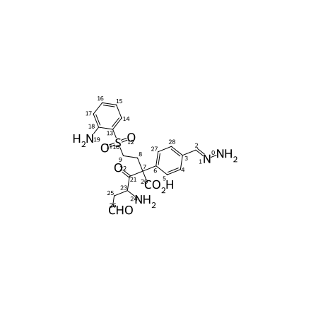 NN=Cc1ccc(C(CCS(=O)(=O)c2ccccc2N)(C(=O)O)C(=O)C(N)CC=O)cc1